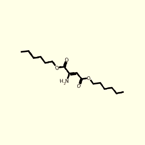 CCCCCCOC(=O)C=C(N)C(=O)OCCCCCC